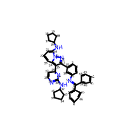 c1ccc(C(=Nc2cccc(-c3nn4c(NC5CCCC5)cccc4c3-c3ccnc(NC4CCCC4)n3)c2)c2ccccc2)cc1